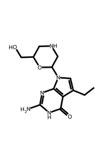 CCc1cn(C2CNCC(CO)O2)c2nc(N)[nH]c(=O)c12